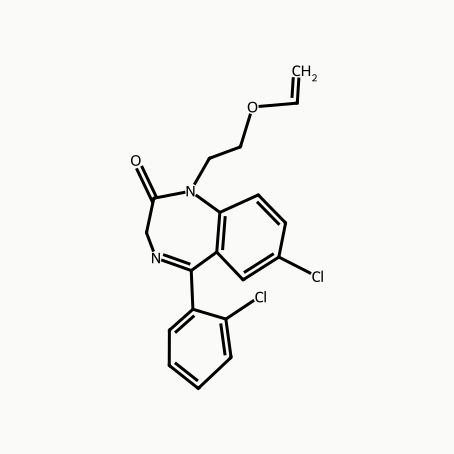 C=COCCN1C(=O)CN=C(c2ccccc2Cl)c2cc(Cl)ccc21